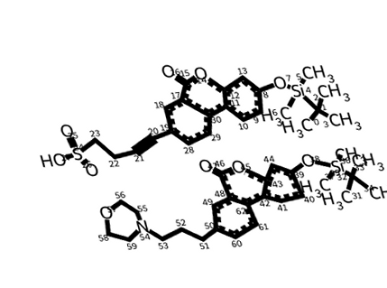 CC(C)(C)[Si](C)(C)Oc1ccc2c(c1)oc(=O)c1cc(C#CCCS(=O)(=O)O)ccc12.CC(C)(C)[Si](C)(C)Oc1ccc2c(c1)oc(=O)c1cc(CCCN3CCOCC3)ccc12